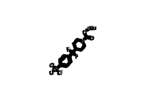 CC(C)(C)OC(=O)N1CCC(C(F)(F)c2ccc(S(=O)(=O)Cl)cc2)CC1